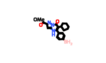 Bc1ccc(-c2[nH]c3cc(C(=O)OC)nn3c(=O)c2C2CCCCC2)cc1